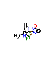 Cc1cc(C)c(CSc2nc3c(c(=O)[nH]2)CCC3)c(C(F)(F)F)n1